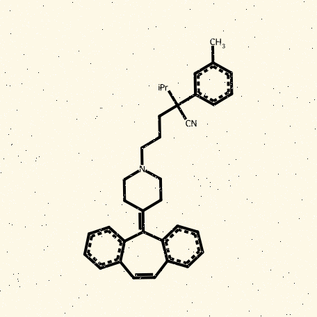 Cc1cccc(C(C#N)(CCCN2CCC(=C3c4ccccc4C=Cc4ccccc43)CC2)C(C)C)c1